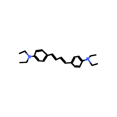 CCN(CC)c1ccc(/C=C/C=C/c2ccc(N(CC)CC)cc2)cc1